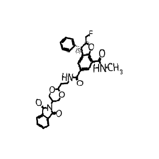 CNC(=O)c1cc(C(=O)NCCC2OCC(N3C(=O)c4ccccc4C3=O)CO2)cc2c1O[C@H](CF)[C@H]2c1ccccc1